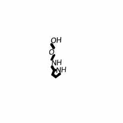 OCCOCCNCC1CCCN1